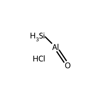 Cl.[O]=[Al][SiH3]